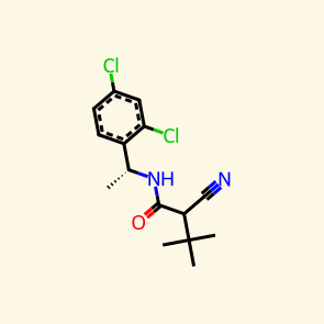 C[C@@H](NC(=O)C(C#N)C(C)(C)C)c1ccc(Cl)cc1Cl